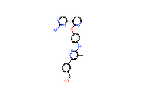 Cc1cc(-c2cccc(CO)c2)nnc1Nc1ccc(Oc2ncccc2-c2ccnc(N)n2)cc1